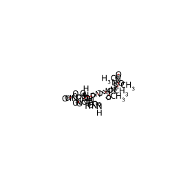 COc1cc([C@@H](C)N2CCN(C3CC4(CCN(c5ccc(C(=O)NS(=O)(=O)c6cc7c(c([N+](=O)[O-])c6)N[C@H](C6CCOCC6)CO7)c(N6c7cc8cc[nH]c8nc7O[C@H]7COCC[C@@H]76)c5)CC4)C3)[C@H](c3ccccc3C)C2)cnc1N1CCOC[C@@H]1C